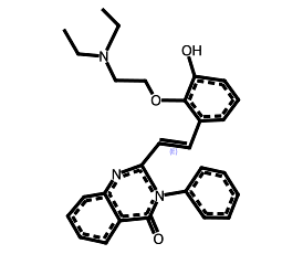 CCN(CC)CCOc1c(O)cccc1/C=C/c1nc2ccccc2c(=O)n1-c1ccccc1